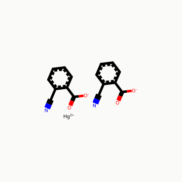 N#Cc1ccccc1C(=O)[O-].N#Cc1ccccc1C(=O)[O-].[Hg+2]